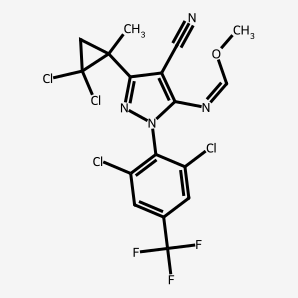 CO/C=N\c1c(C#N)c(C2(C)CC2(Cl)Cl)nn1-c1c(Cl)cc(C(F)(F)F)cc1Cl